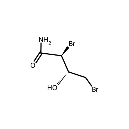 NC(=O)[C@@H](Br)[C@@H](O)CBr